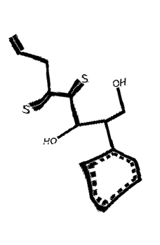 C=CCC(=S)C(=S)C(O)C(CO)c1ccccc1